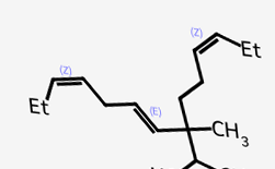 CC/C=C\C/C=C/C(C)(CC/C=C\CC)C(C)O